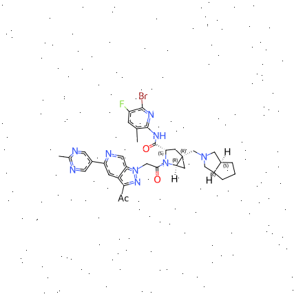 CC(=O)c1nn(CC(=O)N2[C@H](C(=O)Nc3nc(Br)c(F)cc3C)C[C@@]3(CN4C[C@H]5CCC[C@H]5C4)C[C@@H]23)c2cnc(-c3cnc(C)nc3)cc12